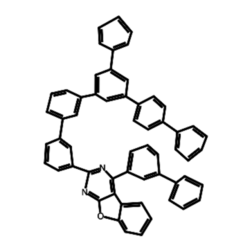 c1ccc(-c2ccc(-c3cc(-c4ccccc4)cc(-c4cccc(-c5cccc(-c6nc(-c7cccc(-c8ccccc8)c7)c7c(n6)oc6ccccc67)c5)c4)c3)cc2)cc1